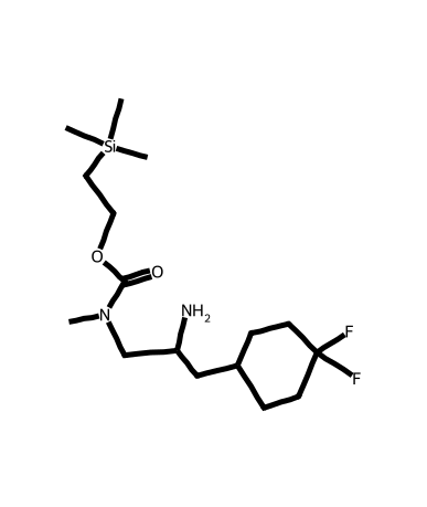 CN(CC(N)CC1CCC(F)(F)CC1)C(=O)OCC[Si](C)(C)C